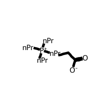 CCC(=O)[O-].CCC[P+](CCC)(CCC)CCC